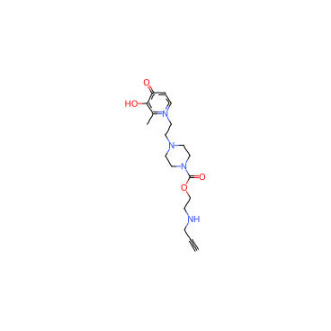 C#CCNCCOC(=O)N1CCN(CCn2ccc(=O)c(O)c2C)CC1